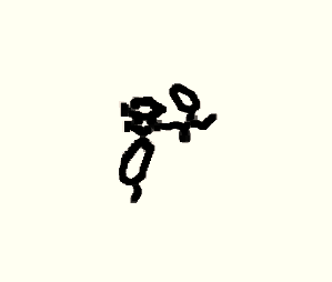 CCN(C(=O)CCn1c2cccnc2nc1[C@H]1CC[C@H](CC)CC1)C1CCCCC1